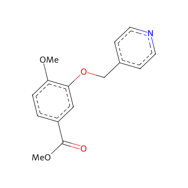 COC(=O)c1ccc(OC)c(OCc2ccncc2)c1